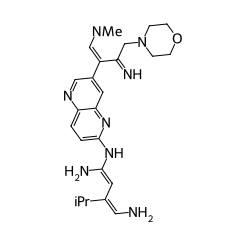 CN/C=C(\C(=N)CN1CCOCC1)c1cnc2ccc(N/C(N)=C/C(=C\N)C(C)C)nc2c1